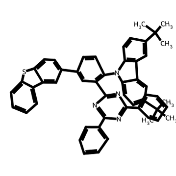 CC(C)(C)c1ccc2c(c1)c1cc(C(C)(C)C)ccc1n2-c1ccc(-c2ccc3sc4ccccc4c3c2)cc1-c1nc(-c2ccccc2)nc(-c2ccccc2)n1